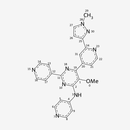 COc1c(Nc2ccncc2)nc(-c2ccncc2)nc1-c1ccnc(-c2ccn(C)n2)c1